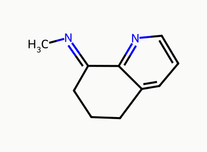 C/N=C1\CCCc2cccnc21